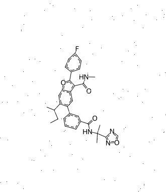 CCC(C)c1cc2oc(-c3ccc(F)cc3)c(C(=O)NC)c2cc1-c1cccc(C(=O)NC(C)(C)c2ncon2)c1